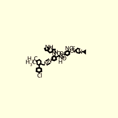 CC1(C)CCC(CN2CCN(c3ccc(C(=O)NS(=O)(=O)c4ccc(OCC5(F)CCN(C6CC6)CC5)c([N+](=O)[O-])c4)c(-n4ncc5nc6[nH]ccc6cc54)c3)CC2)=C(c2ccc(Cl)cc2)C1